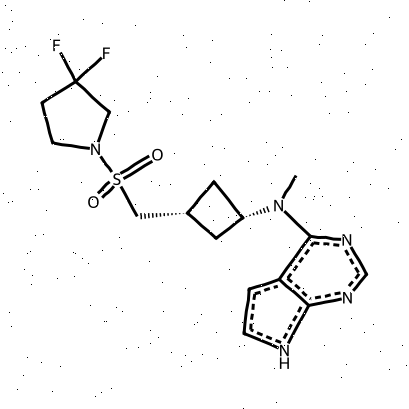 CN(c1ncnc2[nH]ccc12)[C@H]1C[C@@H](CS(=O)(=O)N2CCC(F)(F)C2)C1